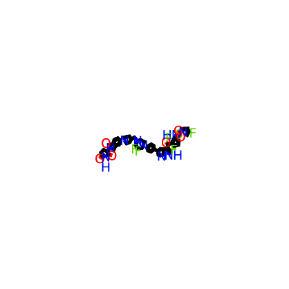 O=C1CCC(N2Cc3cc(N4CCC(CN5CCN(c6ccc(-c7cnc8[nH]cc(C(=O)c9c(F)ccc(NS(=O)(=O)N%10CC[C@@H](F)C%10)c9F)c8c7)cc6)CC(F)(F)C5)CC4)ccc3C2=O)C(=O)N1